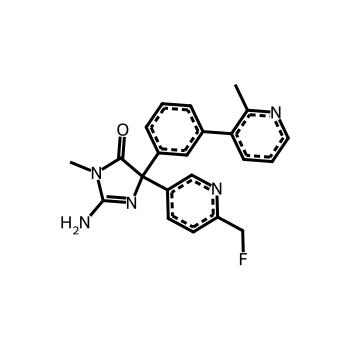 Cc1ncccc1-c1cccc(C2(c3ccc(CF)nc3)N=C(N)N(C)C2=O)c1